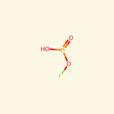 O=[P](O)OF